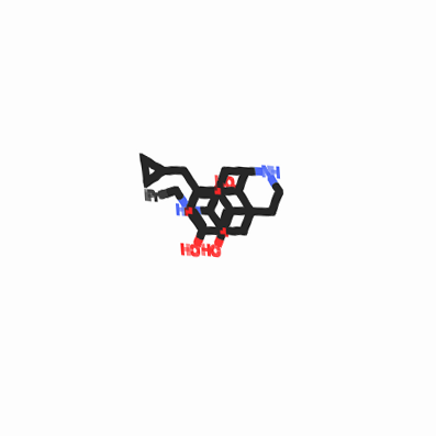 CC(C)CNC1CC2(O)C3Cc4c(CC5CC5)cc(O)cc4C2(CCN3)CC1O